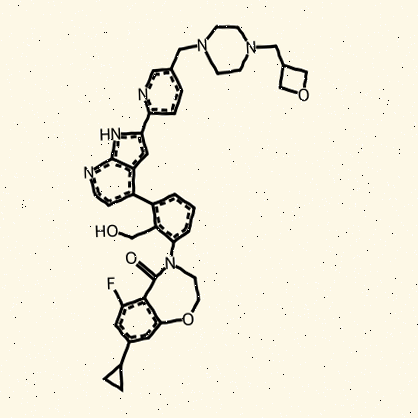 O=C1c2c(F)cc(C3CC3)cc2OCCN1c1cccc(-c2ccnc3[nH]c(-c4ccc(CN5CCN(CC6COC6)CC5)cn4)cc23)c1CO